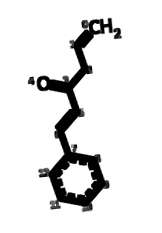 C=CCC(=O)C=Cc1ccccc1